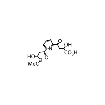 COOC(O)CC(=O)c1cccc(C(=O)CC(O)C(=O)O)n1